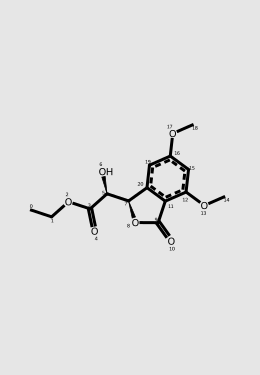 CCOC(=O)[C@@H](O)[C@@H]1OC(=O)c2c(OC)cc(OC)cc21